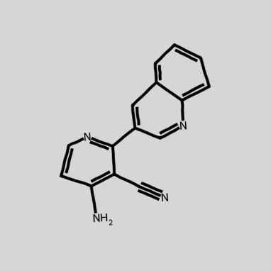 N#Cc1c(N)ccnc1-c1cnc2ccccc2c1